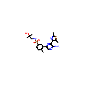 Cc1nc(-c2nc(-c3cc(S(=O)(=O)NCC(C)(C)O)ccc3C)cnc2N)c(C)s1